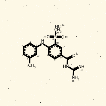 Cc1cccc(Nc2ccc(C(=O)NC(=N)N)cc2S(C)(=O)=O)c1.Cl